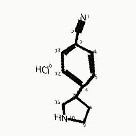 Cl.N#Cc1ccc(C2CCNC2)cc1